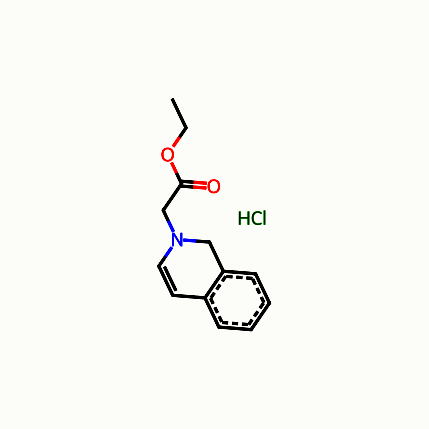 CCOC(=O)CN1C=Cc2ccccc2C1.Cl